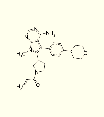 C=CC(=O)N1CCC(c2c(-c3ccc(C4CCOCC4)cc3)c3c(N)ncnc3n2C)C1